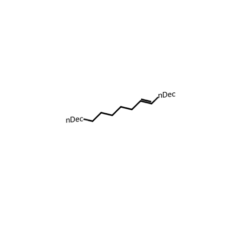 [CH2]CCCCCCCCCC=CCCCCCCCCCCCCCC[CH2]